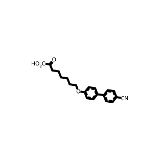 N#Cc1ccc(-c2ccc(OCCCCCCC(=O)C(=O)O)cc2)cc1